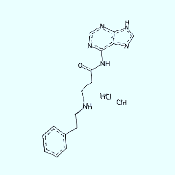 Cl.Cl.O=C(CCNCCc1ccccc1)Nc1ncnc2[nH]cnc12